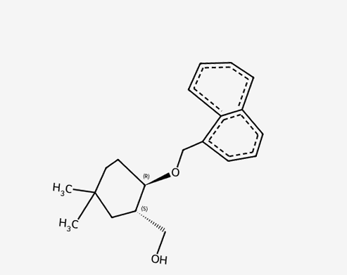 CC1(C)CC[C@@H](OCc2cccc3ccccc23)[C@H](CO)C1